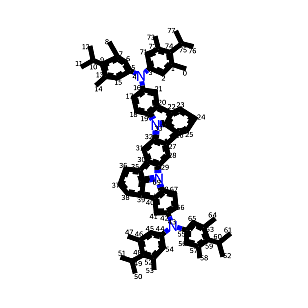 Cc1cc(N(c2cc(C)c(C(C)C)c(C)c2)c2ccc3c(c2)c2cccc4c5cc6c(cc5n3c24)c2cccc3c4cc(N(c5cc(C)c(C(C)C)c(C)c5)c5cc(C)c(C(C)C)c(C)c5)ccc4n6c32)cc(C)c1C(C)C